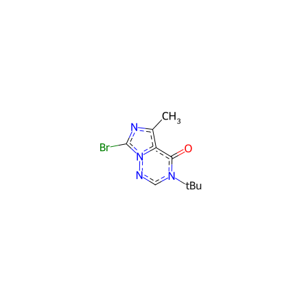 Cc1nc(Br)n2ncn(C(C)(C)C)c(=O)c12